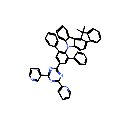 CC1(C)c2ccccc2-c2ccc3c(c21)c1ccccc1n3-c1c(-c2ccccc2)cc(-c2nc(-c3cccnc3)nc(-c3ccccn3)n2)cc1-c1ccccc1